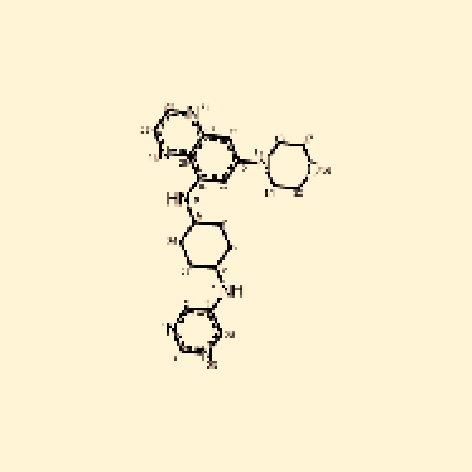 c1ncc(NC2CCC(Nc3cc(N4CCOCC4)cc4nccnc34)CC2)cn1